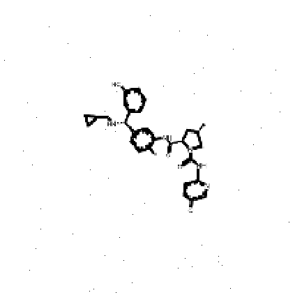 C[C@@H]1C[C@H](C(=O)Nc2cc([C@H](NCC3CC3)c3cccc(C#N)c3)ccc2F)N(C(=O)Nc2ccc(Cl)cn2)C1